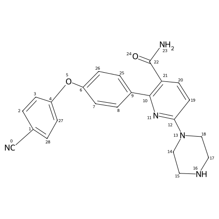 N#Cc1ccc(Oc2ccc(-c3nc(N4CCNCC4)ccc3C(N)=O)cc2)cc1